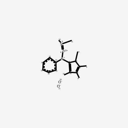 CC1=C(C)C(C)C([N]([Zr+2]=[Si](C)C)c2ccccc2)=C1C.[Cl-].[Cl-]